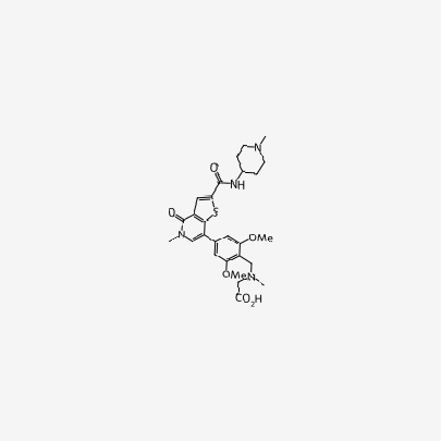 COc1cc(-c2cn(C)c(=O)c3cc(C(=O)NC4CCN(C)CC4)sc23)cc(OC)c1CN(C)CC(=O)O